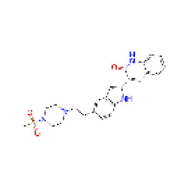 CS(=O)(=O)N1CCN(CCc2ccc3[nH]c(-c4cc5ccccc5[nH]c4=O)cc3c2)CC1